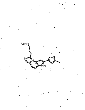 CC(=O)NCCCc1ncc2cnc3[nH]c(-c4cnn(C)c4)cc3n12